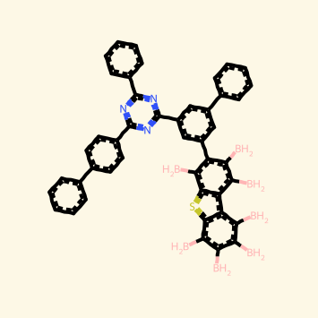 Bc1c(B)c(B)c2c(sc3c(B)c(-c4cc(-c5ccccc5)cc(-c5nc(-c6ccccc6)nc(-c6ccc(-c7ccccc7)cc6)n5)c4)c(B)c(B)c32)c1B